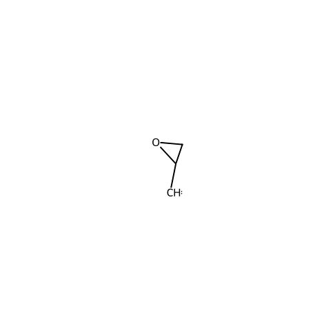 [CH]C1CO1